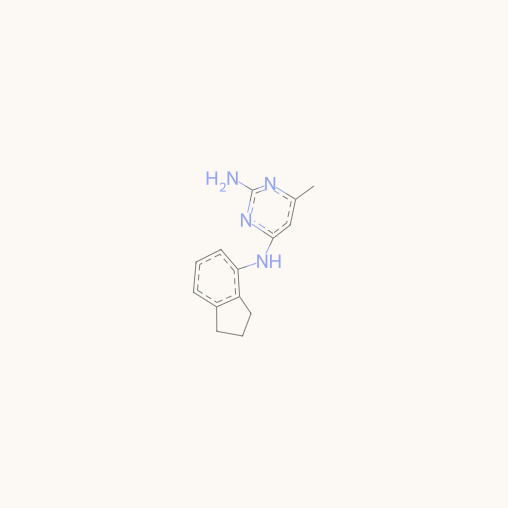 Cc1cc(Nc2cccc3c2CCC3)nc(N)n1